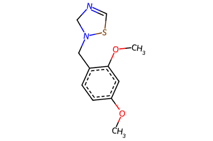 COc1ccc(CN2CN=CS2)c(OC)c1